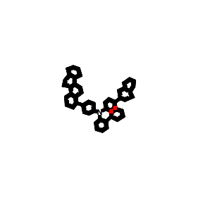 c1ccc(-c2ccccc2N(c2ccc(-c3ccc4ccccc4c3)cc2)c2ccc(-c3cccc4c3ccc3c5ccccc5ccc43)cc2)cc1